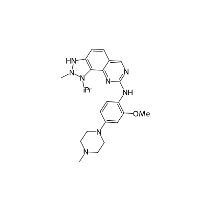 COc1cc(N2CCN(C)CC2)ccc1Nc1ncc2ccc3c(c2n1)N(C(C)C)N(C)N3